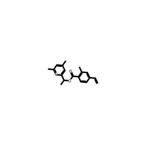 C=Cc1ccc(C(=O)OC(C)c2cc(C)cc(C)n2)c(C)c1